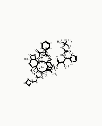 CC(=O)O[C@@]12CO[C@@H]1CC[C@@]1(C)[C@@H]3O[C@H](CN4CCC4)O[C@@H]3C3=C(C)[C@@H](OC(=O)[C@H](O)[C@@H](NC(=O)OC(C)(C)C)c4ncco4)C[C@@](O)([C@@H](OC(=O)c4ccccc4)[C@@H]12)C3(C)C